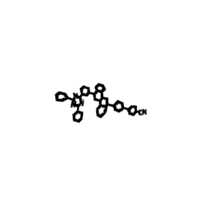 N#Cc1ccc(-c2ccc(-c3cc4c5ccccc5c(-c5cccc(-c6nc(-c7ccccc7)nc(-c7ccccc7)n6)c5)cc4c4ccccc34)cc2)cc1